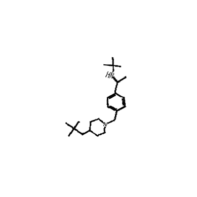 CC(NC(C)(C)C)c1ccc(CN2CCC(CC(C)(C)C)CC2)cc1